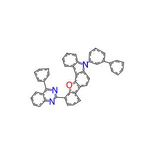 c1ccc(-c2cccc(-n3c4ccccc4c4c5oc6c(-c7nc(-c8ccccc8)c8ccccc8n7)cccc6c5ccc43)c2)cc1